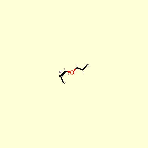 C/C=C\OCCC